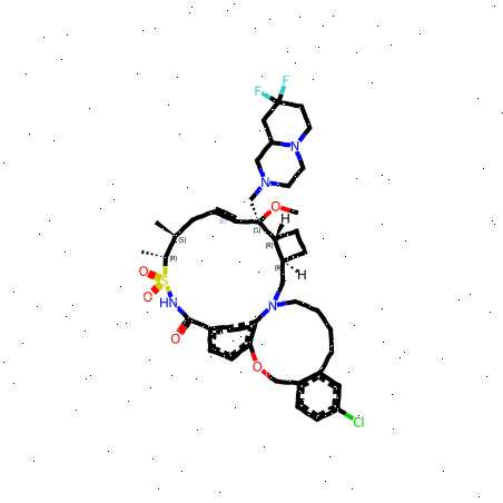 CO[C@]1(CN2CCN3CCC(F)(F)CC3C2)/C=C/C[C@H](C)[C@@H](C)S(=O)(=O)NC(=O)c2ccc3c(c2)N(CCCCc2cc(Cl)ccc2CO3)C[C@@H]2CC[C@H]21